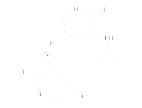 CC(C)Nc1cc(Br)cnc1Cl.Nc1cc(Br)cnc1Cl